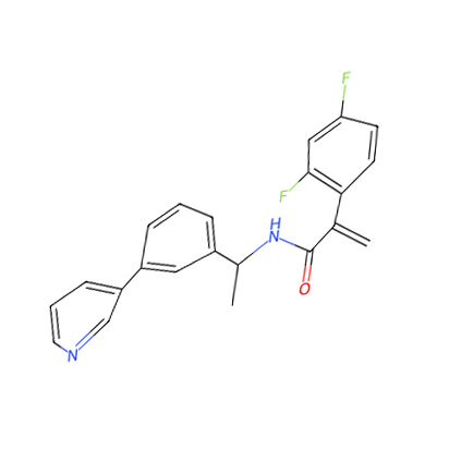 C=C(C(=O)NC(C)c1cccc(-c2cccnc2)c1)c1ccc(F)cc1F